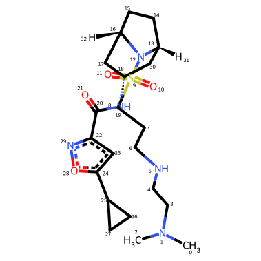 CN(C)CCNCCCS(=O)(=O)N1[C@@H]2CC[C@H]1C[C@@H](NC(=O)c1cc(C3CC3)on1)C2